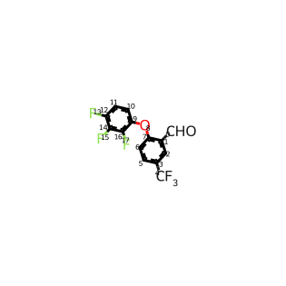 O=Cc1cc(C(F)(F)F)ccc1Oc1ccc(F)c(F)c1F